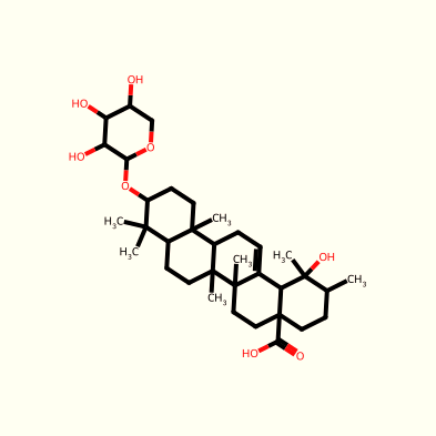 CC1CCC2(C(=O)O)CCC3(C)C(=CCC4C5(C)CCC(OC6OCC(O)C(O)C6O)C(C)(C)C5CCC43C)C2C1(C)O